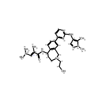 Cc1c(Nc2nccc(-c3ccc4c(c3)CN(CCO)CCC4NC(=O)/C(N)=C/N(N)C(C)(C)C)n2)cnn1C